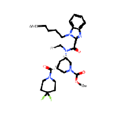 COCCCCn1c(C(=O)N(CC(C)C)[C@H]2C[C@@H](C(=O)N3CCC(F)(F)CC3)CN(C(=O)OC(C)(C)C)C2)nc2ccccc21